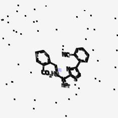 CCCN(/N=C/c1ccccc1C(=O)O)c1nc(-c2ccccc2C#N)cs1